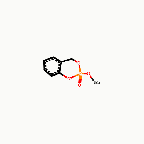 CC(C)(C)OP1(=O)OCc2ccccc2O1